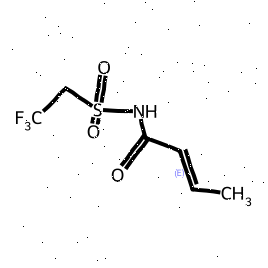 C/C=C/C(=O)NS(=O)(=O)CC(F)(F)F